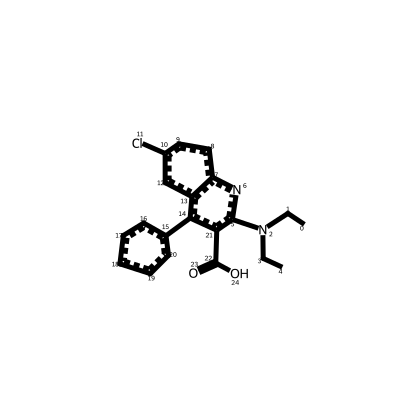 CCN(CC)c1nc2ccc(Cl)cc2c(-c2ccccc2)c1C(=O)O